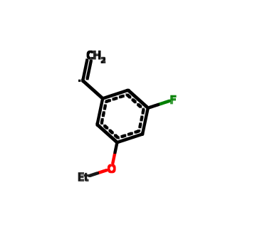 C=[C]c1cc(F)cc(OCC)c1